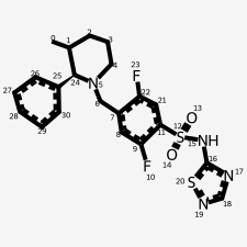 CC1CCCN(Cc2cc(F)c(S(=O)(=O)Nc3ncns3)cc2F)[C@H]1c1ccccc1